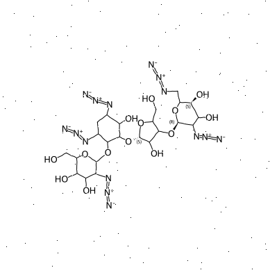 [N-]=[N+]=NCC1O[C@H](OC2C(CO)O[C@@H](OC3C(O)C(N=[N+]=[N-])CC(N=[N+]=[N-])C3OC3OC(CO)C(O)C(O)C3N=[N+]=[N-])C2O)C(N=[N+]=[N-])C(O)[C@@H]1O